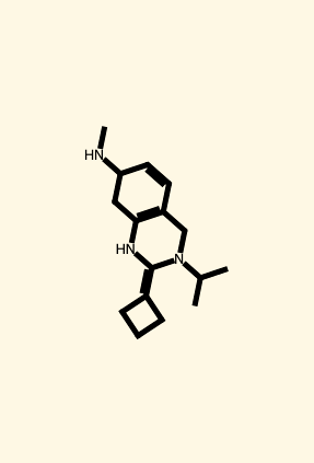 CNC1C=CC2=C(C1)NC(=C1CCC1)N(C(C)C)C2